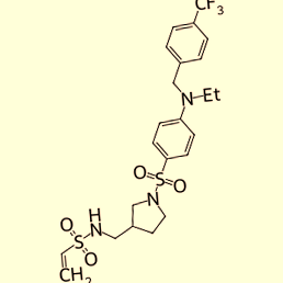 C=CS(=O)(=O)NCC1CCN(S(=O)(=O)c2ccc(N(CC)Cc3ccc(C(F)(F)F)cc3)cc2)C1